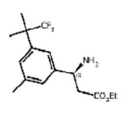 CCOC(=O)C[C@H](N)c1cc(C)cc(C(C)(C)C(F)(F)F)c1